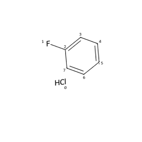 Cl.Fc1cc[c]cc1